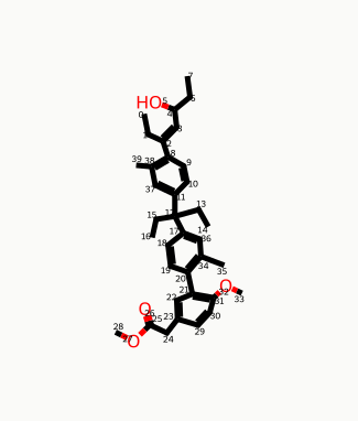 CC/C(=C\C(O)CC)c1ccc(C(CC)(CC)c2ccc(-c3cc(CC(=O)OC)ccc3OC)c(C)c2)cc1C